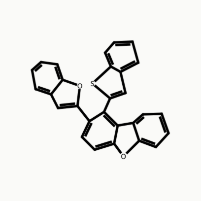 c1ccc2oc(-c3ccc4oc5ccccc5c4c3-c3cc4ccccc4s3)cc2c1